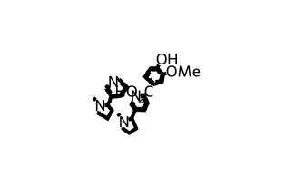 CN1CCCC1c1cccnc1.CN1CCCC1c1cccnc1.COc1cc(C(=O)O)ccc1O